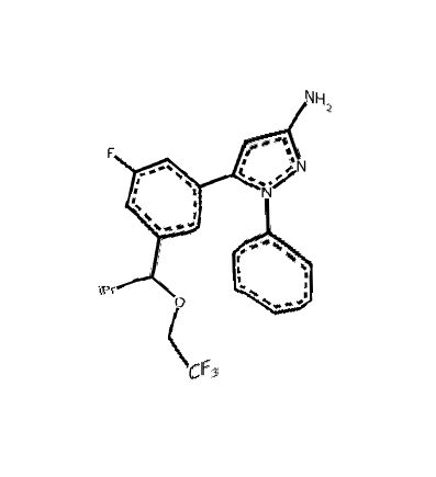 CC(C)C(OCC(F)(F)F)c1cc(F)cc(-c2cc(N)nn2-c2ccccc2)c1